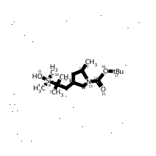 CC1CC(CC(C)(C)[Si](C)(C)O)CN1C(=O)OC(C)(C)C